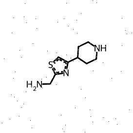 NCc1nc(C2CCNCC2)cs1